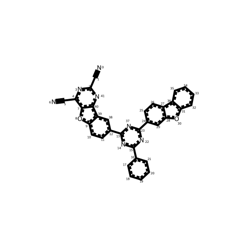 N#Cc1nc(C#N)c2oc3ccc(-c4nc(-c5ccccc5)nc(-c5ccc6c(c5)oc5ccccc56)n4)cc3c2n1